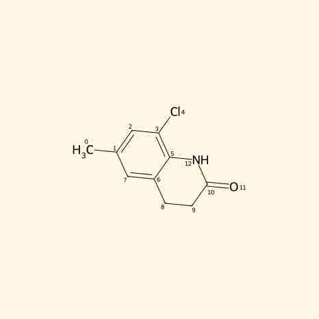 Cc1cc(Cl)c2c(c1)CCC(=O)N2